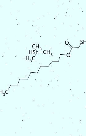 CCCCCCCCCCCCOC(=O)CS.[CH3][SnH]([CH3])[CH3]